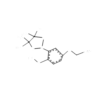 COCOc1ccc(SC(F)(F)F)c(B2OC(C)(C)C(C)(C)O2)c1